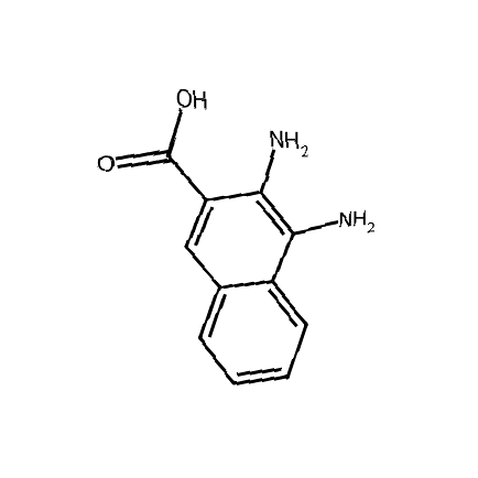 Nc1c(C(=O)O)cc2ccccc2c1N